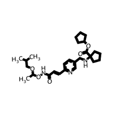 CC(C)COC(C)ONC(=O)/C=C/c1ccc(CNC2(C(=O)OC3CCCC3)CCCC2)cn1